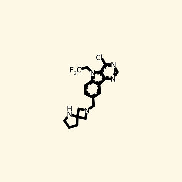 FC(F)(F)Cn1c2ccc(CN3CC4(CCCN4)C3)cc2c2ncnc(Cl)c21